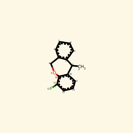 CC1c2ccccc2COc2c(F)cccc21